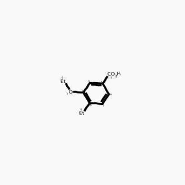 CCOc1cc(C(=O)O)ccc1CC